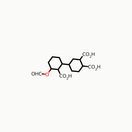 O=COC1CCCC(C2CCC(C(=O)O)C(C(=O)O)C2)C1C(=O)O